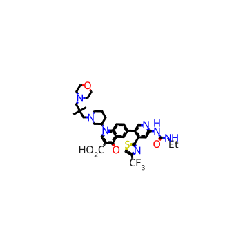 CCNC(=O)Nc1cc(-c2nc(C(F)(F)F)cs2)c(-c2ccc3c(c2)c(=O)c(C(=O)O)cn3C2CCCN(CC(C)(C)CN3CCOCC3)C2)cn1